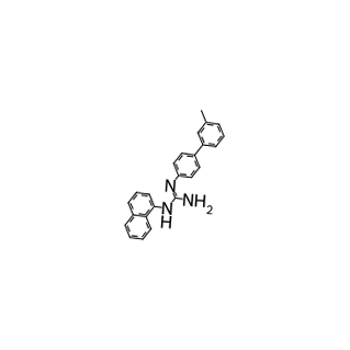 Cc1cccc(-c2ccc(N=C(N)Nc3cccc4ccccc34)cc2)c1